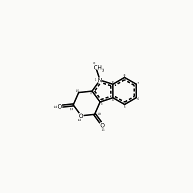 Cn1c2c(c3ccccc31)C(=O)OC(=O)C2